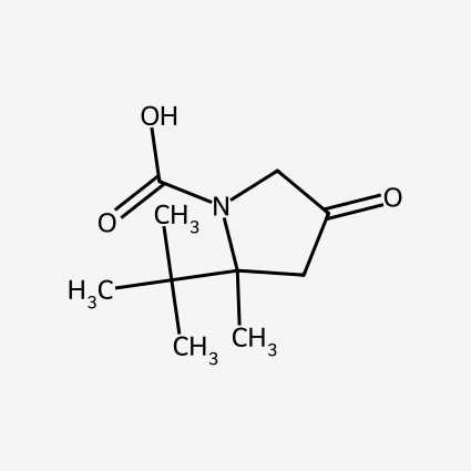 CC(C)(C)C1(C)CC(=O)CN1C(=O)O